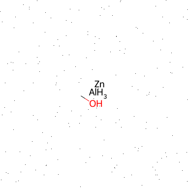 CO.[AlH3].[Zn]